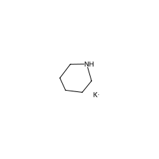 C1CCNCC1.[K]